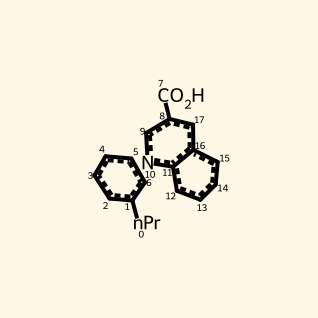 CCCc1ccccc1.O=C(O)c1cnc2ccccc2c1